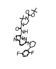 CC(C)(C)OC(=O)N1CCN(C(=O)Nc2cnc3ccc(N4CCCC4c4cc(F)ccc4F)nn23)CC1(C)C